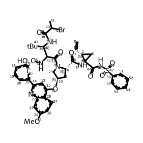 C=C[C@@H]1C[C@]1(NC(=O)[C@@H]1C[C@@H](Oc2cc(-c3ccccc3)nc3cc(OC)ccc23)CN1C(=O)C(NC(=O)O)[C@H](NC(=O)C(C)Br)C(C)(C)C)C(=O)NS(=O)(=O)c1ccccc1